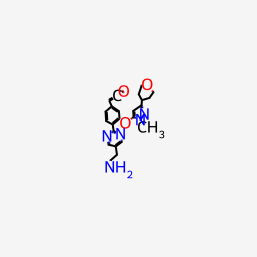 Cn1nc(C2CCOCC2)cc1Oc1cc(C=C=O)ccc1-c1ncc(CCN)cn1